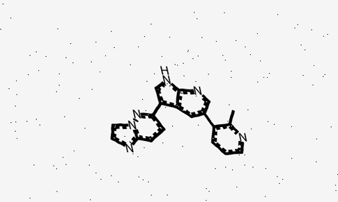 Cc1ncccc1-c1cnc2[nH]cc(-c3ccc4nccn4n3)c2c1